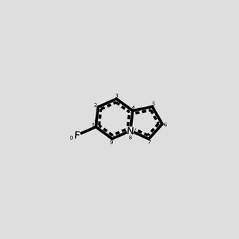 Fc1ccc2cccn2c1